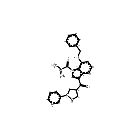 CN(C)C(=O)n1cc(C(=O)C2CSN(c3cccnc3)C2)c2cccc(OCc3ccccc3)c21